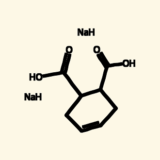 O=C(O)C1CC=CCC1C(=O)O.[NaH].[NaH]